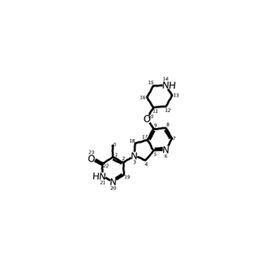 Cc1c(N2Cc3nccc(OC4CCNCC4)c3C2)cn[nH]c1=O